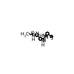 CCCC(=O)Nc1cncc(-c2ccc3[nH]nc(-c4nc5c(-c6ccsc6)cccc5[nH]4)c3c2)c1